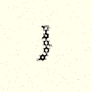 C=C(N)O/C(=N\C)c1ccc(N2CCN(C3CCN(Cc4ccc(Cl)cc4)CC3)[C@@H](CC)C2)c(C)n1